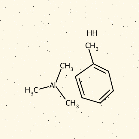 Cc1ccccc1.[CH3][Al]([CH3])[CH3].[HH]